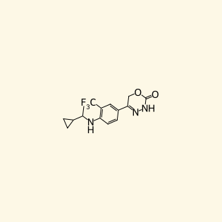 CC(Nc1ccc(C2=NNC(=O)OC2)cc1C(F)(F)F)C1CC1